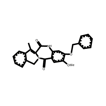 COc1cc2c(cc1OCc1ccccc1)NC(=O)C1=C(C)c3ccccc3CN1C2=O